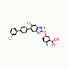 Cc1ccc(Oc2nc3cc(-c4ccc(-c5cccc(Cl)c5)cc4)c(Cl)cc3[nH]2)cc1C(=O)O